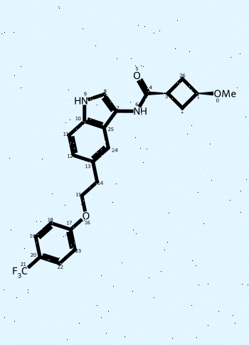 CO[C@H]1C[C@@H](C(=O)Nc2c[nH]c3ccc(CCOc4ccc(C(F)(F)F)cc4)cc23)C1